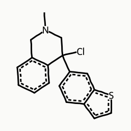 CN1Cc2ccccc2C(Cl)(c2ccc3ccsc3c2)C1